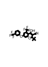 CC(C)(C)C(=O)C(C#N)=C(O)c1ccc(Oc2cccc(C(F)(F)F)c2)cc1C(F)(F)F